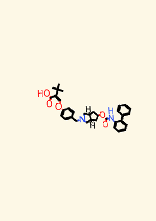 CC(C)(C)C(=COc1ccc(CN2C[C@H]3CC(OC(=O)Nc4ccccc4-c4ccccc4)C[C@H]3C2)cc1)C(=O)O